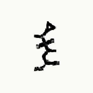 CN[C@H](CN(C)S(=O)(=O)N(C)C1CC1)C(C)(C)C